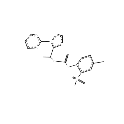 CC(NC(=O)Nc1ccc(F)cc1S(C)(=O)=O)c1ncnn1-c1ncccn1